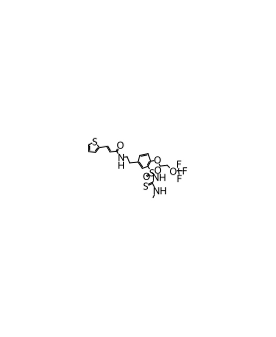 CNC(=S)NS(=O)(=O)c1cc(CCNC(=O)C=Cc2cccs2)ccc1OCCOC(F)(F)F